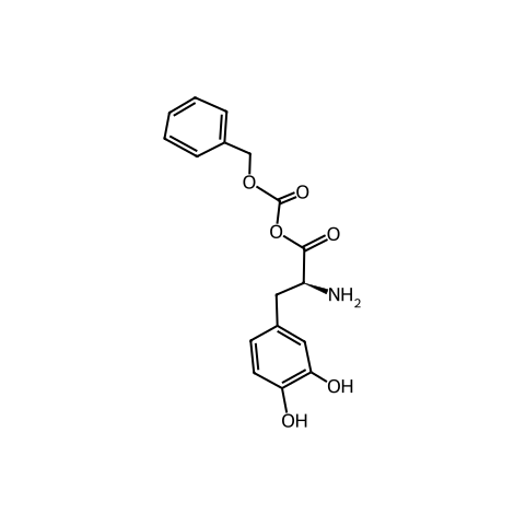 N[C@@H](Cc1ccc(O)c(O)c1)C(=O)OC(=O)OCc1ccccc1